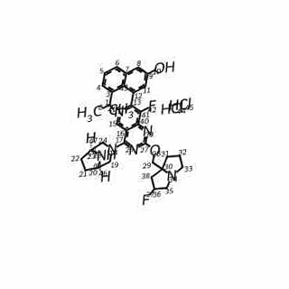 CC(C)c1cccc2cc(O)cc(-c3ncc4c(N5C[C@H]6CC[C@@H](C5)N6)nc(OCC56CCCN5CC(F)C6)nc4c3F)c12.Cl.Cl